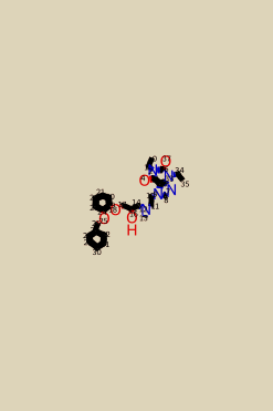 CCn1c(=O)c2c(ncn2CCN(C)CC(O)COc2ccccc2OCc2ccccc2)n(CC)c1=O